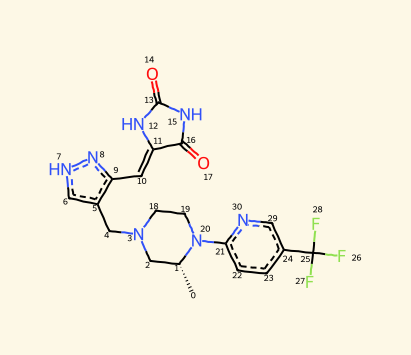 C[C@@H]1CN(Cc2c[nH]nc2C=C2NC(=O)NC2=O)CCN1c1ccc(C(F)(F)F)cn1